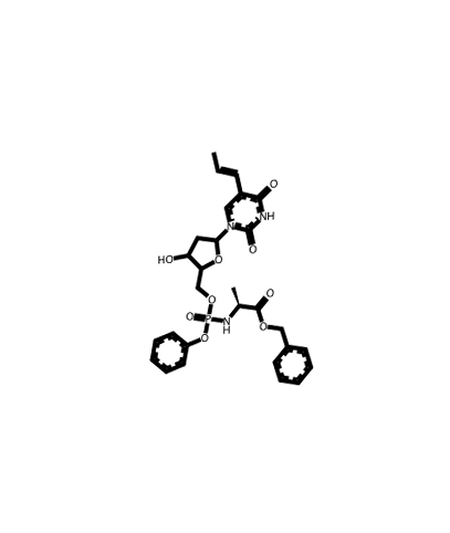 C/C=C/c1cn(C2CC(O)C(COP(=O)(N[C@@H](C)C(=O)OCc3ccccc3)Oc3ccccc3)O2)c(=O)[nH]c1=O